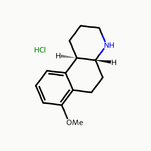 COc1cccc2c1CC[C@H]1NCCC[C@H]21.Cl